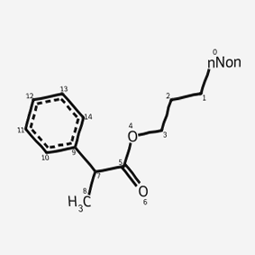 CCCCCCCCCCCCOC(=O)C(C)c1ccccc1